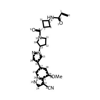 C=CC(=O)N[C@H]1C[C@H](C(=O)N2CC[C@@H](n3cc(-c4cc(OC)c5c(C#N)cnn5c4)cn3)C2)C1